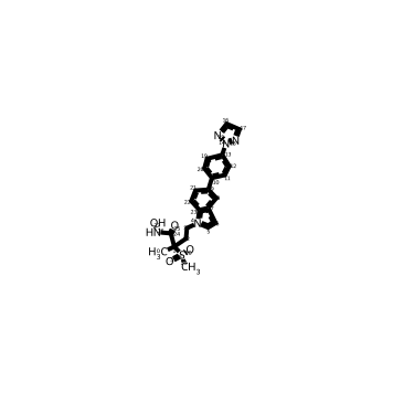 CC(CCn1ccc2cc(-c3ccc(-n4nccn4)cc3)ccc21)(C(=O)NO)S(C)(=O)=O